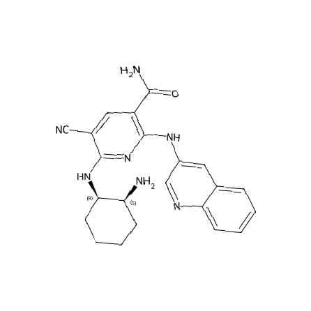 N#Cc1cc(C(N)=O)c(Nc2cnc3ccccc3c2)nc1N[C@@H]1CCCC[C@@H]1N